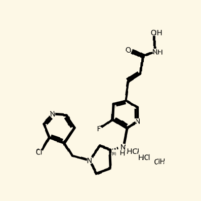 Cl.Cl.Cl.O=C(C=Cc1cnc(N[C@@H]2CCN(Cc3ccncc3Cl)C2)c(F)c1)NO